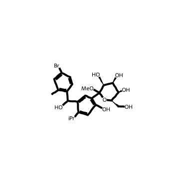 COC1(c2cc(C(O)c3ccc(Br)cc3C)c(C(C)C)cc2O)O[C@H](CO)[C@H](O)[C@H](O)[C@@H]1O